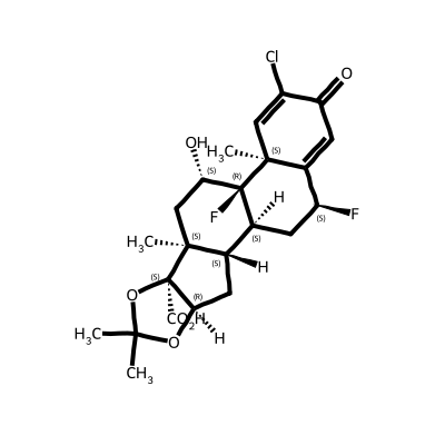 CC1(C)O[C@@H]2C[C@H]3[C@@H]4C[C@H](F)C5=CC(=O)C(Cl)=C[C@]5(C)[C@@]4(F)[C@@H](O)C[C@]3(C)[C@]2(C(=O)O)O1